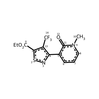 CCOC(=O)c1snc(-c2cccn(C)c2=O)c1C(F)(F)F